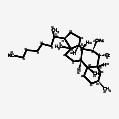 CC[C@H]1[C@@H](OC(C)=O)[C@@H]2[C@H](CC[C@]3(C)[C@@H]([C@H](C)CCCCCC#N)CC[C@@H]23)[C@@]2(C)CC[C@@H](C)C[C@@H]12